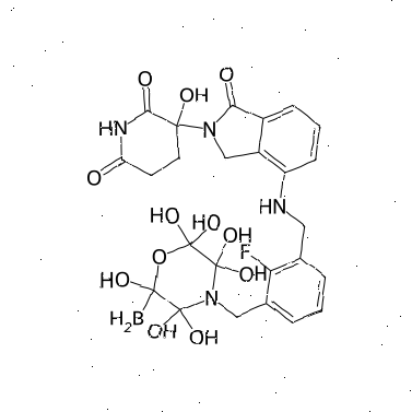 BC1(O)OC(O)(O)C(O)(O)N(Cc2cccc(CNc3cccc4c3CN(C3(O)CCC(=O)NC3=O)C4=O)c2F)C1(O)O